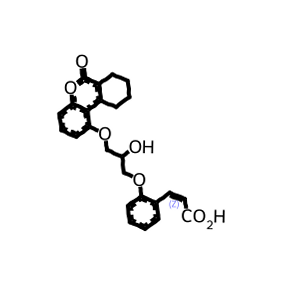 O=C(O)/C=C\c1ccccc1OCC(O)COc1cccc2oc(=O)c3c(c12)CCCC3